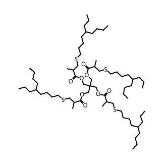 CCCCC(CCC)CCCCSCC(C)C(=O)OCC(COC(=O)C(C)CSCCCCC(CCC)CCCC)(COC(=O)C(C)CSCCCCC(CCC)CCCC)COC(=O)C(C)CSCCCCC(CCC)CCCC